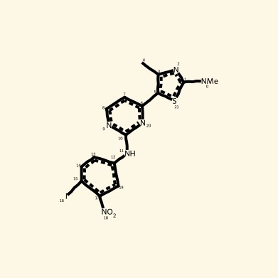 CNc1nc(C)c(-c2ccnc(Nc3ccc(I)c([N+](=O)[O-])c3)n2)s1